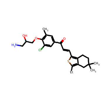 CCc1sc(C=CC(=O)c2cc(C)c(OCC(O)CN)c(Cl)c2)c2c1CC(C)(C)CC2